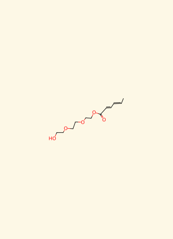 C/C=C/C=C/C(=O)OCCOCCOCCO